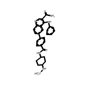 NC(=O)c1cnc2ccc(-c3ccc(C(=O)NC4CCC(NC(=O)O)CC4)cc3)cc2c1Nc1ccccc1